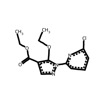 CCOC(=O)c1cnn(-c2cccc(Cl)n2)c1OCC